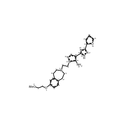 COCCOc1ccc2c(c1)CCN(CCn1ncc(-c3nc(-c4ccco4)n[nH]3)c1N)CC2